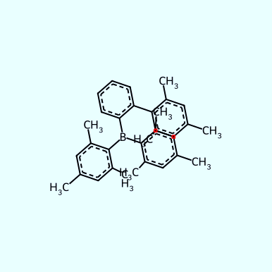 Cc1cc(C)c(B(c2ccccc2-c2c(C)cc(C)cc2C)c2c(C)cc(C)cc2C)c(C)c1